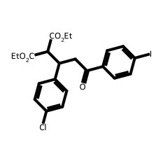 CCOC(=O)C(C(=O)OCC)C(CC(=O)c1ccc(I)cc1)c1ccc(Cl)cc1